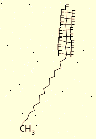 CCCCCCCCCCCCCCCCCC(F)(F)C(F)(F)C(F)(F)C(F)(F)C(F)(F)C(F)(F)C(F)(F)C(F)(F)F